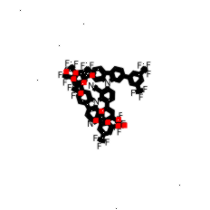 N#Cc1cc(-c2ccc(-n3c4cc(-c5cc(C(F)(F)F)cc(C(F)(F)F)c5)ccc4c4ccc(-c5cc(C(F)(F)F)cc(C(F)(F)F)c5)cc43)c(C#N)c2-n2c3cc(-c4cc(C(F)(F)F)cc(C(F)(F)F)c4)ccc3c3ccc(-c4cc(C(F)(F)F)cc(C(F)(F)F)c4)cc32)cc(C(F)(F)F)c1